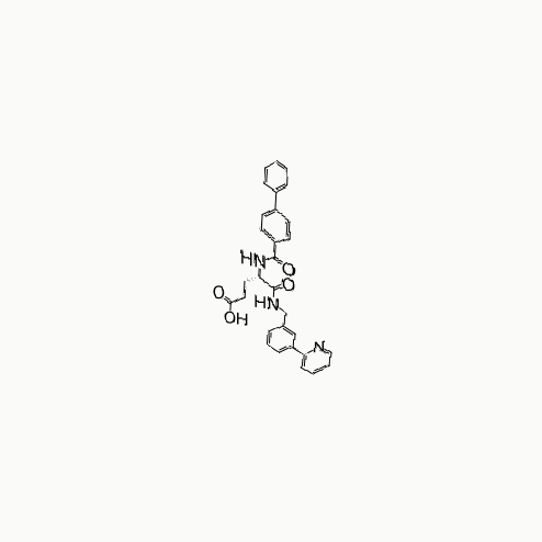 O=C(O)CC[C@H](NC(=O)c1ccc(-c2ccccc2)cc1)C(=O)NCc1cccc(-c2ccccn2)c1